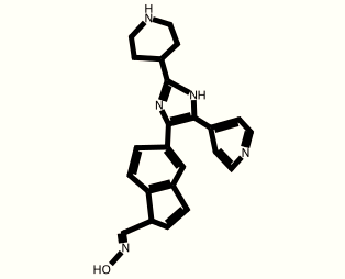 ON=CC1C=Cc2cc(-c3nc(C4CCNCC4)[nH]c3-c3ccncc3)ccc21